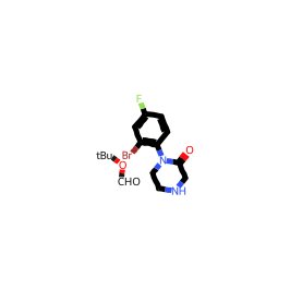 CC(C)(C)OC=O.O=C1CNCCN1c1ccc(F)cc1Br